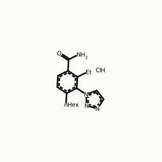 CCCCCCc1ccc(C(N)=O)c(CC)c1-n1ccnn1.Cl